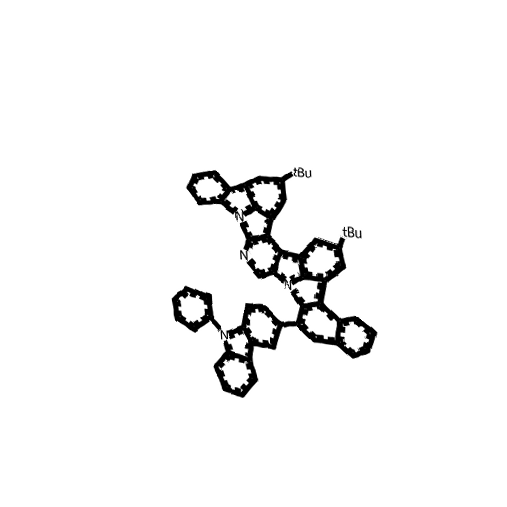 CC(C)(C)c1cc2c3ccccc3n3c4ncc5c(c6cc(C(C)(C)C)cc7c8c9ccccc9cc(-c9ccc%10c(c9)c9ccccc9n%10-c9ccccc9)c8n5c67)c4c(c1)c23